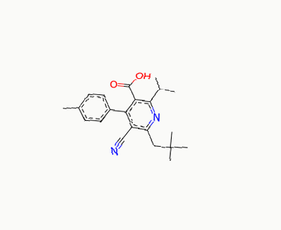 Cc1ccc(-c2c(C#N)c(CC(C)(C)C)nc(C(C)C)c2C(=O)O)cc1